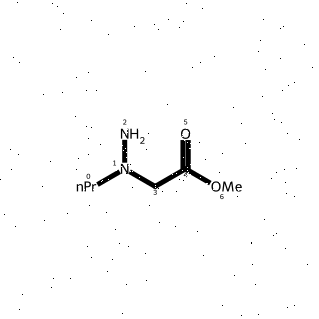 CCCN(N)CC(=O)OC